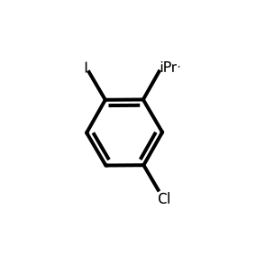 C[C](C)c1cc(Cl)ccc1I